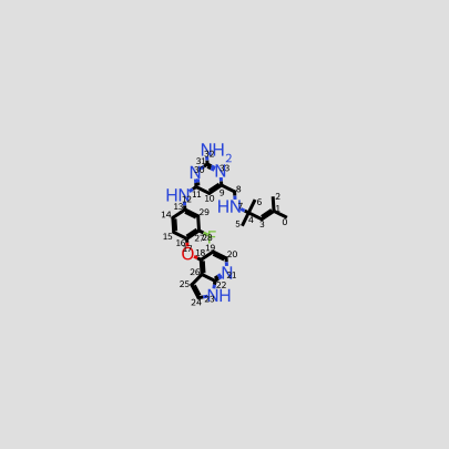 CC(C)=CC(C)(C)NCc1cc(Nc2ccc(Oc3ccnc4[nH]ccc34)c(F)c2)nc(N)n1